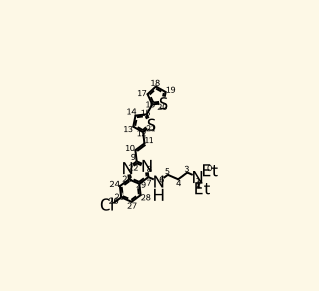 CCN(CC)CCCNc1nc(C=Cc2ccc(-c3cccs3)s2)nc2cc(Cl)ccc12